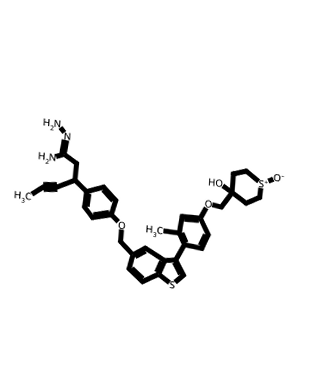 CC#CC(C/C(N)=N/N)c1ccc(OCc2ccc3scc(-c4ccc(OCC5(O)CC[S+]([O-])CC5)cc4C)c3c2)cc1